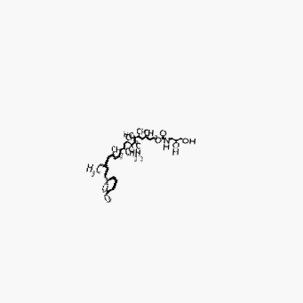 CC(=C/[C@H](C)C/C=C/C(C)=C/[C@@H](C)C(=O)[C@@H](C)[C@H](O)[C@@H](C)C/C(C)=C/COC(=O)NC[C@@H](O)CO)/C=C/[C@H]1CC=CC(=O)O1